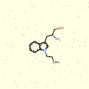 COCCn1cc(C[C@H](N)CO)c2ccccc21